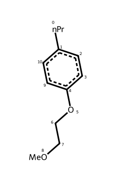 CCCc1ccc(OCCOC)cc1